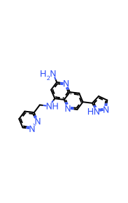 Nc1cc(NCc2cccnn2)c2ncc(-c3ccn[nH]3)cc2n1